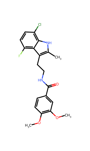 COc1ccc(C(=O)NCCc2c(C)[nH]c3c(Cl)ccc(F)c23)cc1OC